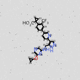 O=C(O)C1(c2ccc(-c3ccc(-c4cn[nH]c4CNc4cncc(OC5CC5)n4)nc3)cc2C(F)(F)F)CC1